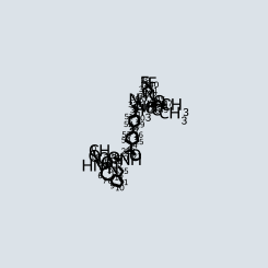 COC(=O)N[C@H]1CCc2cccc3c2N(C1=O)[C@H](C(=O)NCC(=O)c1ccc(-c2ccc(-c4cnc([C@@H]5CC(F)(F)CN5C(=O)OC(C)(C)C)[nH]4)cc2)cc1)C3